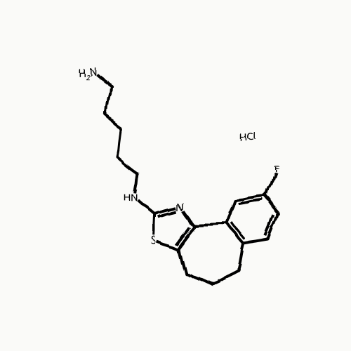 Cl.NCCCCCNc1nc2c(s1)CCCc1ccc(F)cc1-2